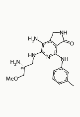 COC[C@H](N)CNc1nc(Nc2cccc(C)c2)c2c(c1N)CNC2=O